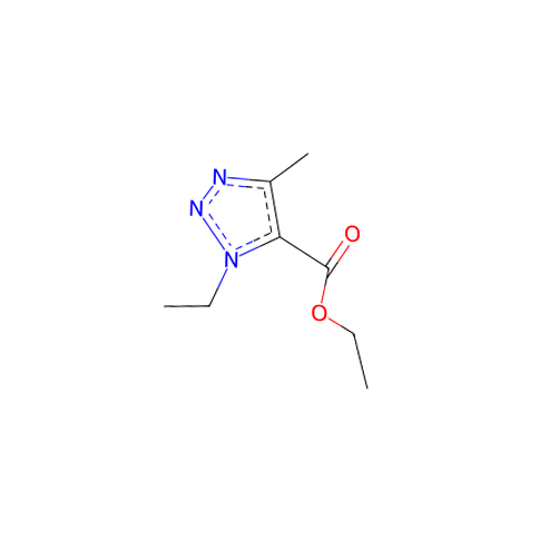 CCOC(=O)c1c(C)nnn1CC